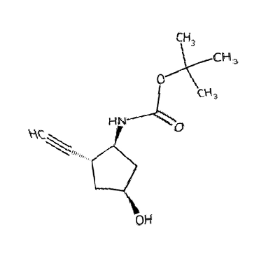 C#C[C@H]1C[C@H](O)C[C@@H]1NC(=O)OC(C)(C)C